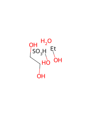 CCO.O.O=S(=O)(O)O.OCCO